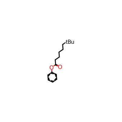 CC(C)(C)CCCCCC(=O)Oc1ccccc1